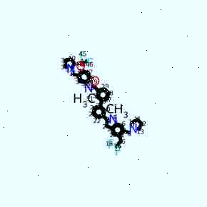 Cc1c(C2=Nc3cc(CN4CCCC4)c(CC(F)F)cc3C2)cccc1-c1cccc(-c2nc3cc(CN4CCCC4)c(OC(F)F)cc3o2)c1C